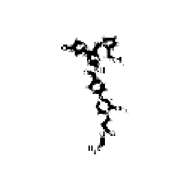 CCOC(=O)CCN1CCN(c2cnc(C(=O)Nc3nc(-c4cc(Cl)cs4)c(CN4CCCC4CC)s3)cn2)CC1C